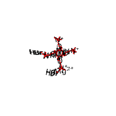 Br.Br.Br.Br.CCCC[N+](CCCC)(CCCC)CCCCCCOc1cccc(-c2c3nc(c(-c4cccc(OCCCCCC[N+](CCCC)(CCCC)CCCC)c4)c4ccc([nH]4)c(-c4cccc(OCCCCCC[N+](CCCC)(CCCC)CCCC)c4)c4nc(c(-c5cccc(OCCCCCC[N+](CCCC)(CCCC)CCCC)c5)c5ccc2[nH]5)C=C4)C=C3)c1.[Mg+2]